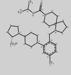 O=C(O)[C@@H]1CCCN1C1CCN(c2cc(C(F)(F)F)ccc2CN2CCCC23CCN(C(=O)OC(C(F)(F)F)C(F)(F)F)CC3)CC1